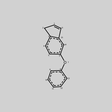 [C]1=CCc2ccc(Oc3ccccc3)cc21